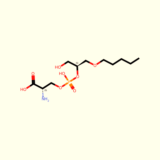 CCCCCOC[C@H](CO)OP(=O)(O)OC[C@H](N)C(=O)O